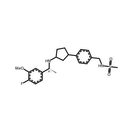 COc1cc([C@@H](C)NC2CCC(c3ccc(CNS(C)(=O)=O)cc3)C2)ccc1F